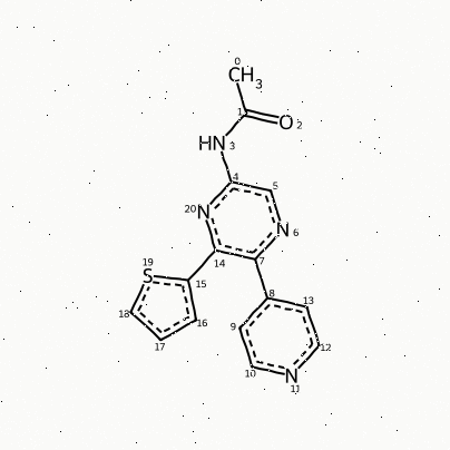 CC(=O)Nc1cnc(-c2ccncc2)c(-c2cccs2)n1